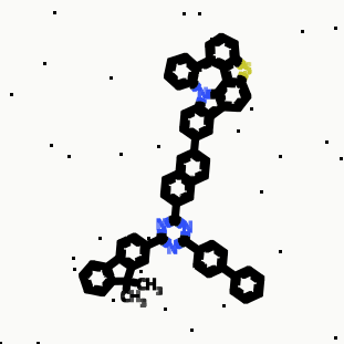 CC1(C)c2ccccc2-c2ccc(-c3nc(-c4ccc(-c5ccccc5)cc4)nc(-c4ccc5cc(-c6ccc7c(c6)c6ccc8sc9cccc%10c%11ccccc%11n7c6c8c9%10)ccc5c4)n3)cc21